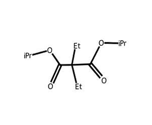 CCC(CC)(C(=O)OC(C)C)C(=O)OC(C)C